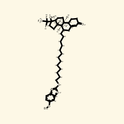 CCOc1ccc2nc(SCCCCCCCCCCCCCC3CC4=CC(=O)CC[C@]4(C)[C@@H]4CC[C@@]5(C)[C@@H](CCC5(O)C(F)(F)C(F)(F)F)[C@H]34)sc2c1